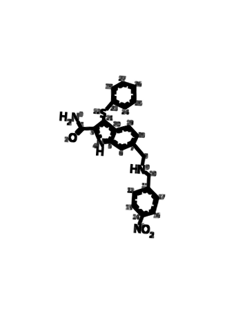 NC(=O)c1[nH]c2cc(CNCc3ccc([N+](=O)[O-])cc3)ccc2c1Sc1ccccc1